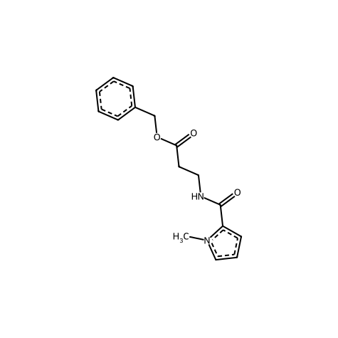 Cn1cccc1C(=O)NCCC(=O)OCc1ccccc1